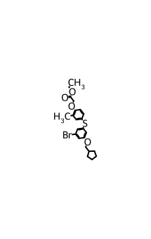 CCOC(=O)COc1ccc(Sc2cc(Br)cc(OCC3CCCC3)c2)cc1C